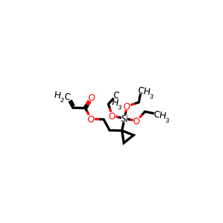 C=CC(=O)OCCC1([Si](OCC)(OCC)OCC)CC1